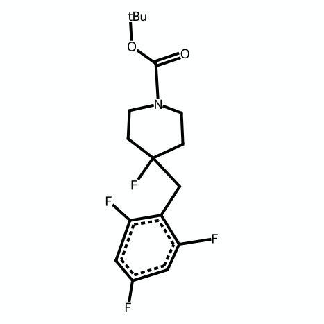 CC(C)(C)OC(=O)N1CCC(F)(Cc2c(F)cc(F)cc2F)CC1